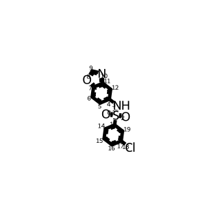 O=S(=O)(Nc1ccc2ocnc2c1)c1cccc(Cl)c1